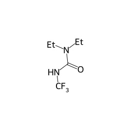 CCN(CC)C(=O)NC(F)(F)F